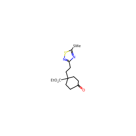 CCOC(=O)C1(CCc2nsc(SC)n2)CCC(=O)CC1